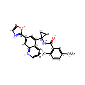 COc1ccc(C)c(C(=O)NC2(c3cc(-c4ncco4)cc4ncccc34)CC2)c1